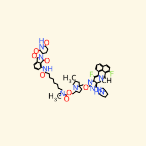 C#Cc1c(F)ccc2cccc(-c3ncc4c(N5CC6CCC(C5)N6)nc(OCC56CCC(COC(=O)N(C)CCCCCCCC(=O)Nc7cccc8c7C(=O)N(C7CCC(=O)NC7=O)C8=O)N5CC(C)C6)nc4c3F)c12